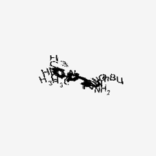 CCCCOc1nc(N)c2ncc(Cc3cnc(N4CC(C)NC(C)C4)c(C)c3)n2n1